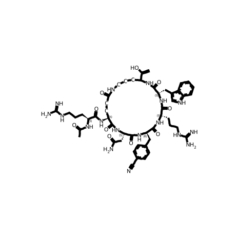 C=C(O)C1CCCNC(=O)CC[C@H](NC(=O)[C@H](CCCNC(=N)N)NC(C)=O)C(=O)N[C@@H](CC(N)=O)C(=O)N[C@H](Cc2ccc(C#N)cc2)C(=O)N[C@@H](CCCNC(=N)N)C(=O)N[C@@H](Cc2c[nH]c3ccccc23)C(=O)N1